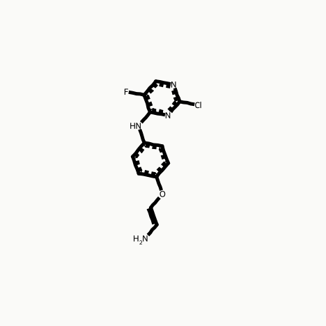 NC=COc1ccc(Nc2nc(Cl)ncc2F)cc1